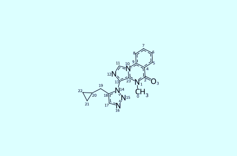 Cn1c(=O)c2ccccc2n2cnc(-n3nncc3CC3CC3)c12